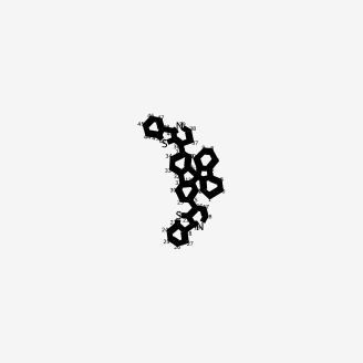 c1ccc2c(c1)-c1ccccc1C21c2cc(-c3ccnc4c3sc3ccccc34)ccc2-c2ccc(-c3ccnc4c3sc3ccccc34)cc21